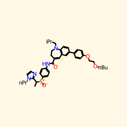 CCCCOCCOc1ccc(-c2ccc3c(c2)C=C(C(=O)Nc2ccc([S+]([O-])C(C)c4nccn4CCC)cc2)CCN3CC(C)C)cc1